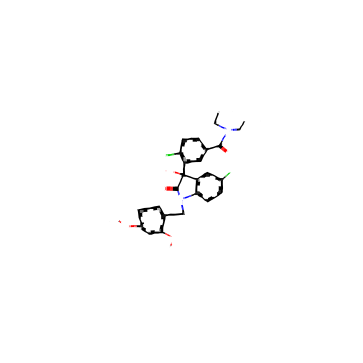 CCN(CC)C(=O)c1ccc(Cl)c(C2(O)C(=O)N(Cc3ccc(OC)cc3OC)c3ccc(Cl)cc32)c1